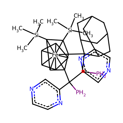 C[Si](C)(C)[C]12[CH]3[C]4(C(P)(c5cnccn5)c5cnccn5)[C]5(C6(CP)C7CC8CC(C7)CC6C8)[C]1([Si](C)(C)C)[Fe]34521678[CH]2[CH]1[CH]6[CH]7[CH]28